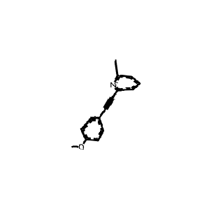 COc1ccc(C#Cc2cccc(C)n2)cc1